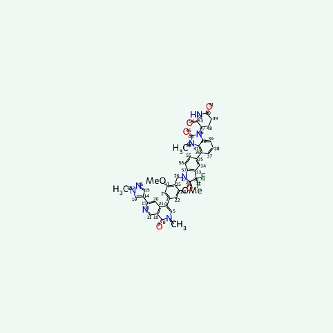 COc1cc(-c2cn(C)c(=O)c3cnc(-c4cnn(C)c4)cc23)cc(OC)c1CN1C(=O)C(F)(F)c2cc(-c3cccc4c3n(C)c(=O)n4C3CCC(=O)NC3=O)ccc21